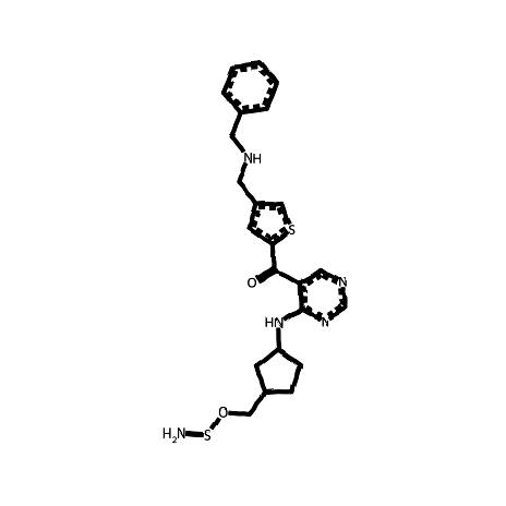 NSOCC1CCC(Nc2ncncc2C(=O)c2cc(CNCc3ccccc3)cs2)C1